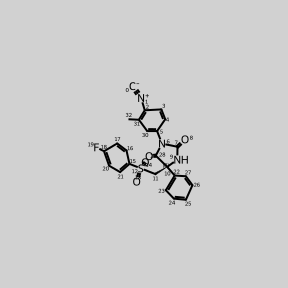 [C-]#[N+]c1ccc(N2C(=O)N[C@](CS(=O)(=O)c3ccc(F)cc3)(c3ccccc3)C2=O)cc1C